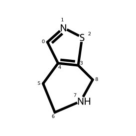 c1nsc2c1CCNC2